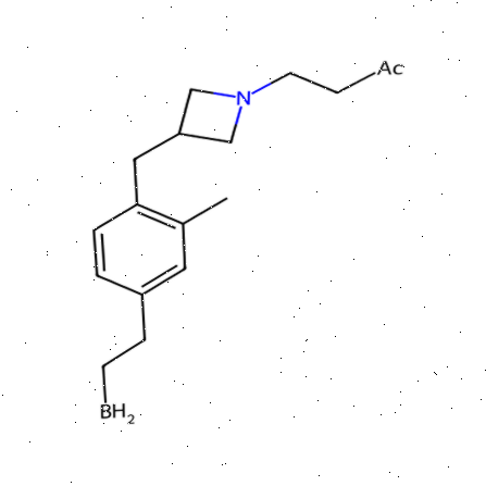 BCCc1ccc(CC2CN(CCC(C)=O)C2)c(C)c1